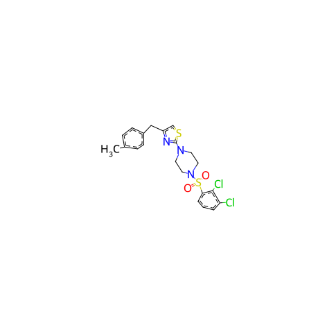 Cc1ccc(Cc2csc(N3CCN(S(=O)(=O)c4cccc(Cl)c4Cl)CC3)n2)cc1